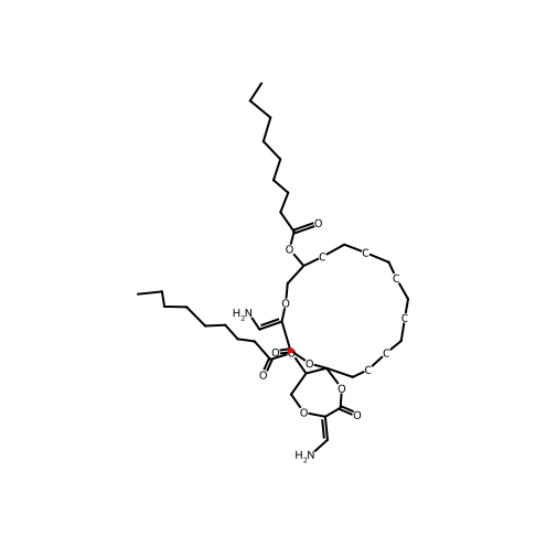 CCCCCCCCC(=O)OC1CCCCCCCCCCCC2(OC(=O)C(=CN)OC1)OC(=O)C(=CN)OCC2OC(=O)CCCCCCCC